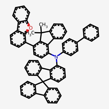 CC1(C)c2ccccc2-c2c(N(c3ccc(-c4ccccc4)cc3)c3cccc4c3-c3ccccc3C43c4ccccc4-c4ccccc43)ccc(-c3cccc4c3oc3ccccc34)c21